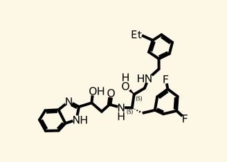 CCc1cccc(CNC[C@H](O)[C@H](Cc2cc(F)cc(F)c2)NC(=O)CC(O)c2nc3ccccc3[nH]2)c1